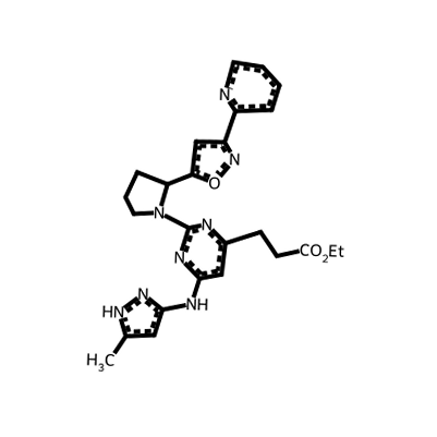 CCOC(=O)CCc1cc(Nc2cc(C)[nH]n2)nc(N2CCCC2c2cc(-c3ccccn3)no2)n1